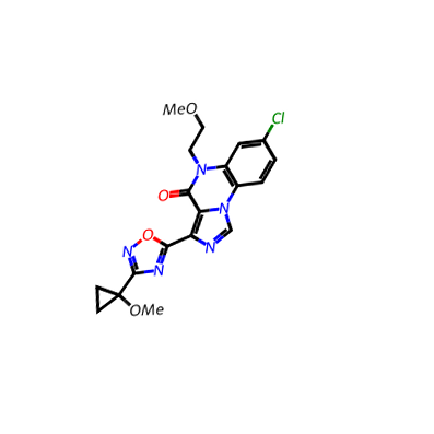 COCCn1c(=O)c2c(-c3nc(C4(OC)CC4)no3)ncn2c2ccc(Cl)cc21